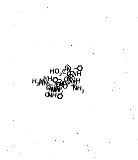 C[C@H](NC(=O)[C@H](CC(N)=O)NC(=O)[C@H](Cc1ccccc1)NC(=O)[C@H](Cc1ccccc1)NC(=O)[C@@H](CCCNC(=N)N)NC(=O)[C@@H]1CCCN1)C(=O)N[C@@H](Cc1ccccc1)C(=O)N1CCC[C@@H]1C(=O)O